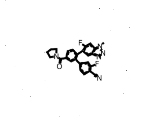 Cn1nnc2cc(-c3ccc(C(=O)N4C[CH]CC4)cc3-c3ccc(C#N)c(F)c3)c(F)cc21